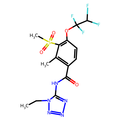 CCn1nnnc1NC(=O)c1ccc(OC(F)(F)C(F)F)c(S(C)(=O)=O)c1C